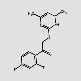 CC1=CC(C)NC(SCC(=O)c2ccc(F)cc2F)=N1